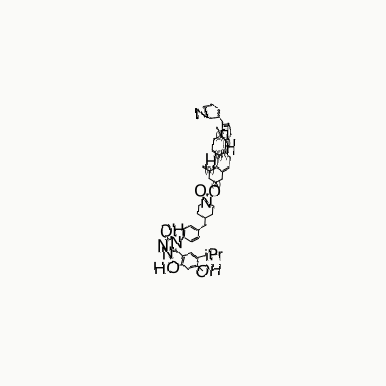 CC(C)c1cc(-c2nnc(O)n2-c2ccc(CC3CCN(C(=O)O[C@@H]4CC5=CC[C@@H]6[C@H](CC[C@]7(C)C(c8cccnc8)=CC[C@@H]67)C5[C@H](C)C4)CC3)cc2)c(O)cc1O